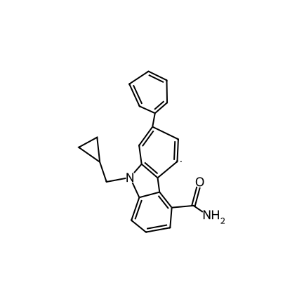 NC(=O)c1cccc2c1c1[c]cc(-c3ccccc3)cc1n2CC1CC1